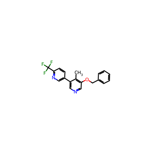 Cc1c(OCc2ccccc2)cncc1-c1ccc(C(F)(F)F)nc1